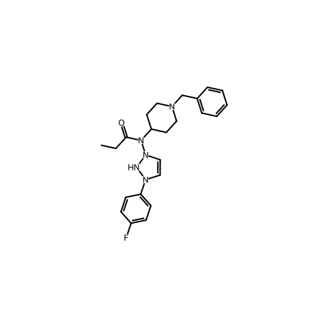 CCC(=O)N(C1CCN(Cc2ccccc2)CC1)N1C=CN(c2ccc(F)cc2)N1